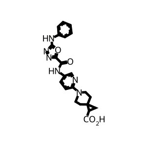 O=C(Nc1ccc(N2CCC3(CC2)CC3C(=O)O)nc1)c1nnc(Nc2ccccc2)o1